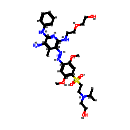 COc1cc(S(=O)(=O)CCN(CCO)C(C)C)c(OC)cc1/N=N/c1c(NCCOCCO)nc(Nc2ccccc2)c(N)c1C